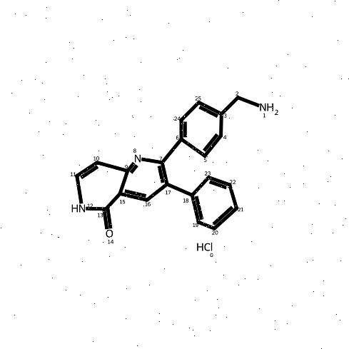 Cl.NCc1ccc(-c2nc3cc[nH]c(=O)c3cc2-c2ccccc2)cc1